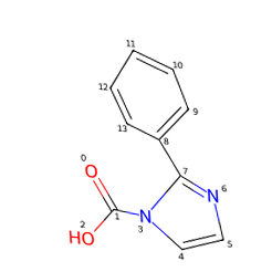 O=C(O)n1ccnc1-c1ccccc1